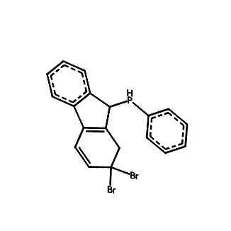 BrC1(Br)C=CC2=C(C1)C(Pc1ccccc1)c1ccccc12